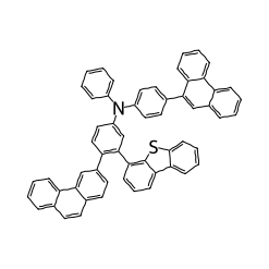 c1ccc(N(c2ccc(-c3cc4ccccc4c4ccccc34)cc2)c2ccc(-c3ccc4ccc5ccccc5c4c3)c(-c3cccc4c3sc3ccccc34)c2)cc1